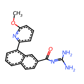 COc1cccc(-c2cccc3ccc(C(=O)N=C(N)N)cc23)n1